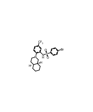 O=S(=O)(Nc1cc(C(F)(F)F)ccc1N1CC[C@@H]2CCCC[C@H]2C1)c1ccc(Br)cc1